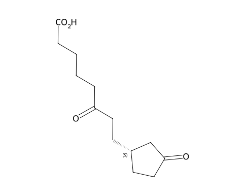 O=C(O)CCCCC(=O)CC[C@H]1CCC(=O)C1